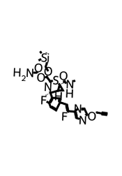 C#CCOc1cnc(/C(F)=C/c2ccc(F)c([C@@]3(C)N=C(C(OCC[Si](C)(C)C)OC(N)=O)S[C@@]4(C(=O)NC)C[C@H]43)c2)cn1